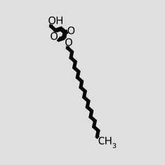 CCCCCCCCCCCCCCCCCCCCOc1coc(CO)cc1=O